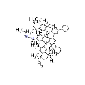 C=C/C=C\C=C(/C)c1ccc2c(c1)N(c1cc3c(cc1C)C(C)(C)CCC3(C)C)c1c3c(cc4c1oc1ccccc14)-c1cc(-c4ccccc4)ccc1N(c1cc4c(cc1C)C(C)(C)CCC4(C)C)B23